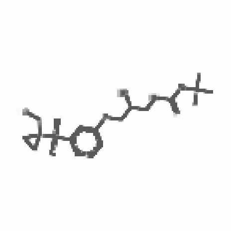 CC(C)(C)OC(=O)NC[C@H](O)COc1cccc(S(=O)(=O)C2(CO)CC2)c1